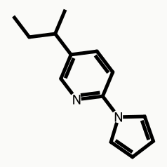 CCC(C)c1ccc(-n2cccc2)nc1